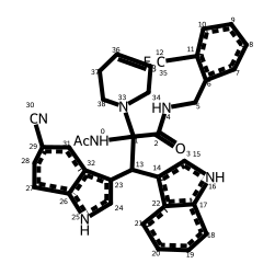 CC(=O)NC(C(=O)NCc1ccccc1C(F)(F)F)(C(c1c[nH]c2ccccc12)c1c[nH]c2ccc(C#N)cc12)N1CC=CCC1